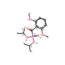 COc1cccc(OC)c1C(=O)P(=S)(OC(C)C)OC(C)C